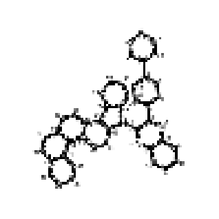 c1ccc(-c2ccc(-c3nc4ccccc4nc3-n3c4ccccc4c4c5ccc6ccc7ccccc7c6c5ccc43)cc2)cc1